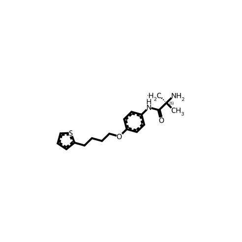 [CH2][C@@](C)(N)C(=O)Nc1ccc(OCCCCc2cccs2)cc1